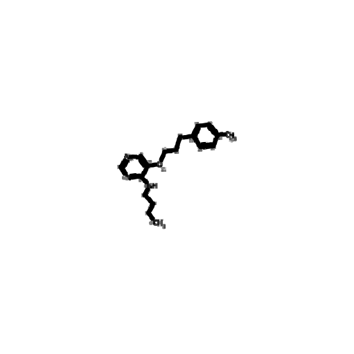 CCCCNc1ncncc1OCCCc1ccc(C)cc1